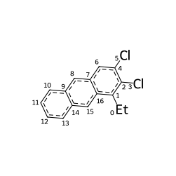 CCc1c(Cl)c(Cl)cc2cc3ccccc3cc12